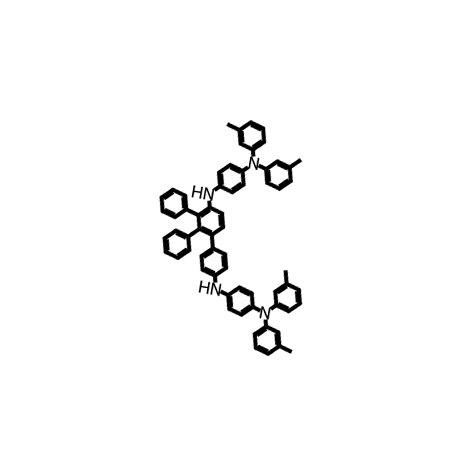 Cc1cccc(N(c2ccc(Nc3ccc(-c4ccc(Nc5ccc(N(c6cccc(C)c6)c6cccc(C)c6)cc5)c(-c5ccccc5)c4-c4ccccc4)cc3)cc2)c2cccc(C)c2)c1